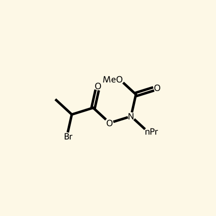 CCCN(OC(=O)C(C)Br)C(=O)OC